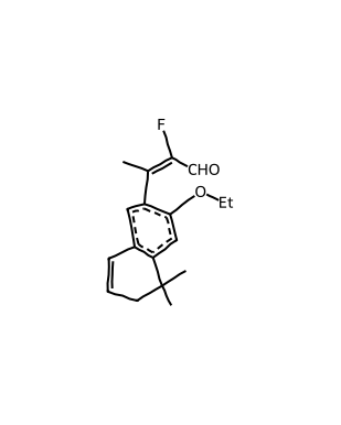 CCOc1cc2c(cc1/C(C)=C(/F)C=O)C=CCC2(C)C